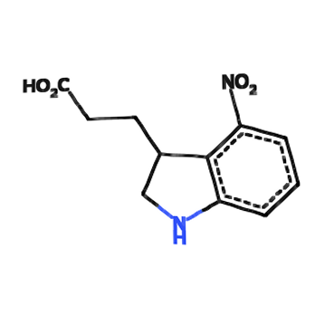 O=C(O)CCC1CNc2cccc([N+](=O)[O-])c21